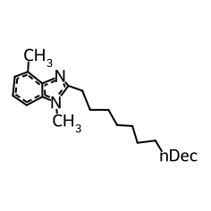 CCCCCCCCCCCCCCCCCc1nc2c(C)cccc2n1C